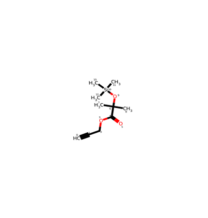 C#CCOC(=O)C(C)(C)O[Si](C)(C)C